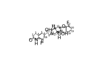 O=C1CCc2cc(C(O)CN3C[C@H]4C[C@H](Oc5ccccc5F)[C@H](O)[C@@]4(O)C3)cc(F)c2N1